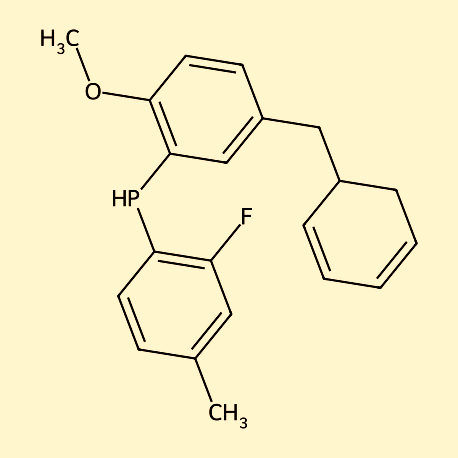 COc1ccc(CC2C=CC=CC2)cc1Pc1ccc(C)cc1F